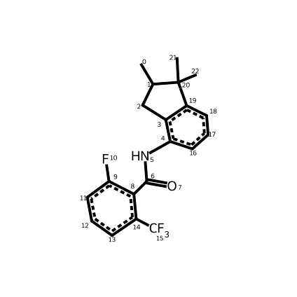 CC1Cc2c(NC(=O)c3c(F)cccc3C(F)(F)F)cccc2C1(C)C